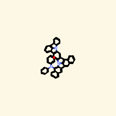 c1ccc(N(c2ccccc2)c2c3ccccc3cc3c4cc5ccccc5c5c6cc7c(cc6n(c23)c45)c2cccc3c4ccccc4n7c32)cc1